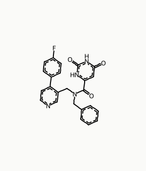 O=C(c1cc(=O)[nH]c(=O)[nH]1)N(Cc1ccccc1)Cc1cnccc1-c1ccc(F)cc1